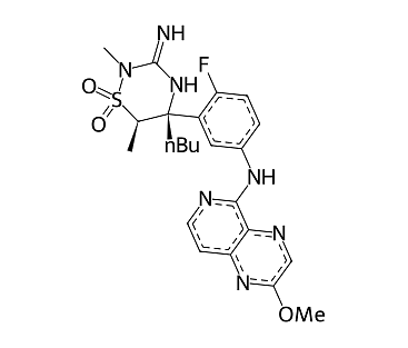 CCCC[C@]1(c2cc(Nc3nccc4nc(OC)cnc34)ccc2F)NC(=N)N(C)S(=O)(=O)[C@@H]1C